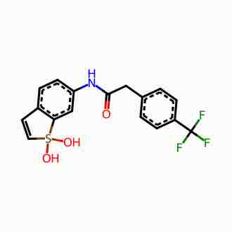 O=C(Cc1ccc(C(F)(F)F)cc1)Nc1ccc2c(c1)S(O)(O)C=C2